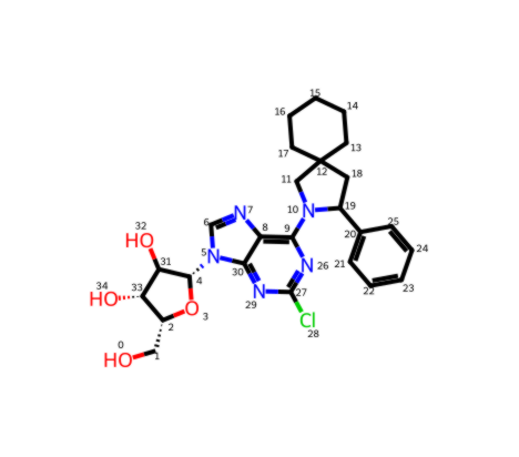 OC[C@H]1O[C@@H](n2cnc3c(N4CC5(CCCCC5)CC4c4ccccc4)nc(Cl)nc32)C(O)[C@H]1O